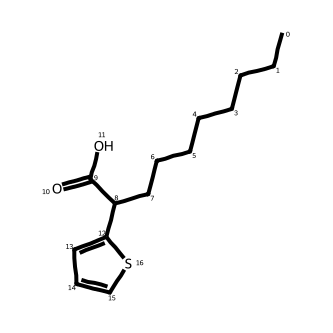 CCCCCCCCC(C(=O)O)c1cccs1